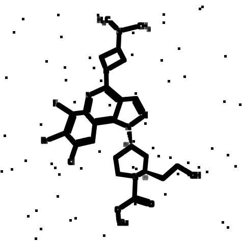 CN(C)C1CN(c2nc3c(F)c(Br)c(Cl)cc3c3c2cnn3[C@H]2CCN(C(=O)OC(C)(C)C)[C@H](CCO)C2)C1